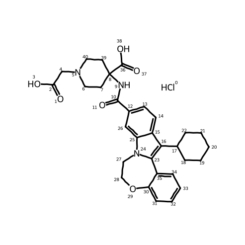 Cl.O=C(O)CN1CCC(NC(=O)c2ccc3c(C4CCCCC4)c4n(c3c2)CCOc2ccccc2-4)(C(=O)O)CC1